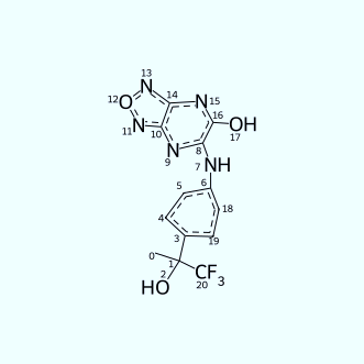 CC(O)(c1ccc(Nc2nc3nonc3nc2O)cc1)C(F)(F)F